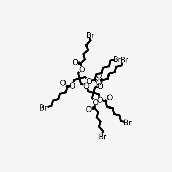 O=C(CCCCCBr)OCC(COCC(COC(=O)CCCCCBr)(COC(=O)CCCCCBr)COC(=O)CCCCCBr)(COC(=O)CCCCCBr)COC(=O)CCCCCBr